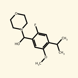 COc1cc(C(O)N2CCOCC2)c(F)cc1C(C)C